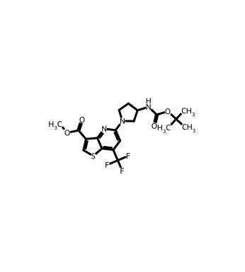 COC(=O)c1csc2c(C(F)(F)F)cc(N3CCC(NC(=O)OC(C)(C)C)C3)nc12